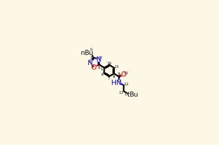 CCCCc1noc(-c2ccc(C(=O)NCCC(C)(C)C)cc2)n1